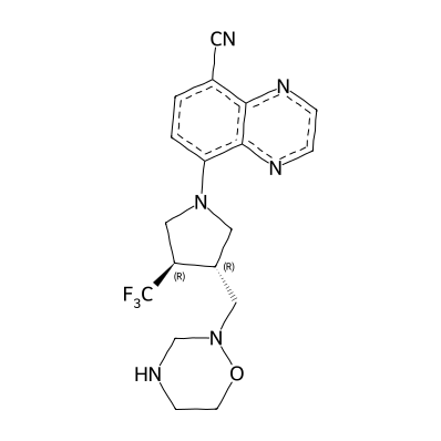 N#Cc1ccc(N2C[C@H](CN3CNCCO3)[C@@H](C(F)(F)F)C2)c2nccnc12